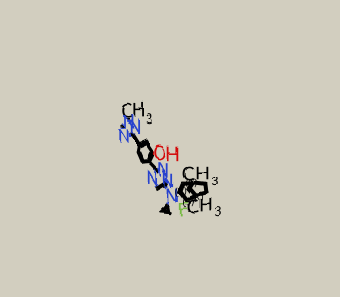 Cn1cnc(-c2ccc(-c3ncc(N(C4CC4)[C@@H]4C[C@@]5(C)CC[C@](C)(C5)[C@@H]4F)nn3)c(O)c2)n1